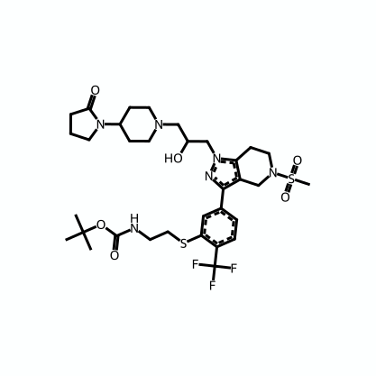 CC(C)(C)OC(=O)NCCSc1cc(-c2nn(CC(O)CN3CCC(N4CCCC4=O)CC3)c3c2CN(S(C)(=O)=O)CC3)ccc1C(F)(F)F